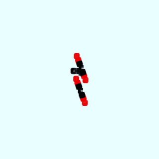 C.O=C=O.O=C=O